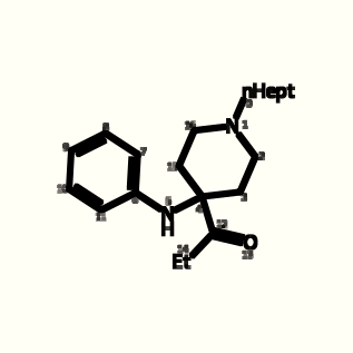 CCCCCCCN1CCC(Nc2ccccc2)(C(=O)CC)CC1